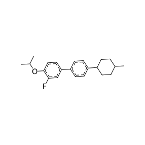 CC1CCC(c2ccc(-c3ccc(OC(C)C)c(F)c3)cc2)CC1